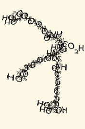 C[C@H]1O[C@@H](OCCOCCOCCOCC(=O)NCCCC[C@H](NC(=O)[C@H](CCCCNC(=O)COCCOCCOCCO[C@H]2C[C@@H](O)[C@@H](O)[C@@H](CO)O2)NC(=O)COCCOCCOCCO[C@H]2CC[C@@H](O)[C@@H](C)O2)C(=O)O)C[C@@H](O)[C@H]1O